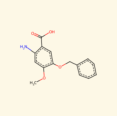 COc1cc(N)c(C(=O)O)cc1OCc1ccccc1